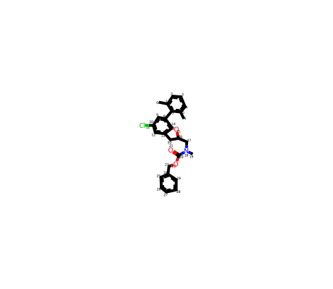 Cc1cccc(C)c1-c1cc(Cl)cc2c1OC(CN(C)C(=O)OCc1ccccc1)C2